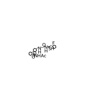 CC(=O)NS(=O)(=O)c1ccccc1-c1ccc(CNCCC(=O)NC[C@H](S)Cc2ccccc2F)cc1